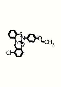 CCOc1ccc(N2Sc3ccccc3N(Cc3c(F)cccc3Cl)C2=O)cc1